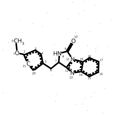 COc1ccc(CC2NC(=O)n3c2nc2ccccc23)cc1